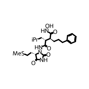 CSCC[C@H]1C(=O)NC(=O)N1NC(=O)[C@H](CC(C)C)[C@H](CCCc1ccccc1)C(=O)NO